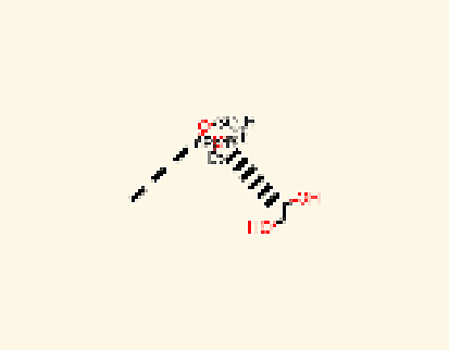 C=C.C=C.C=C.C=C.C=C.C=C.C=C.C=C.C=C.CCCCCOS(=O)(=O)O.CCOCC.OCCO